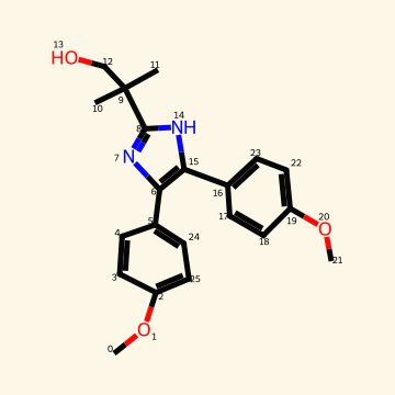 COc1ccc(-c2nc(C(C)(C)CO)[nH]c2-c2ccc(OC)cc2)cc1